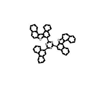 c1ccc2c(c1)cc(-c1nc(-c3cc4ccccc4c4c3oc3ccc5ccccc5c34)nc(-c3cc4ccccc4c4c3oc3ccc5ccccc5c34)n1)c1ccccc12